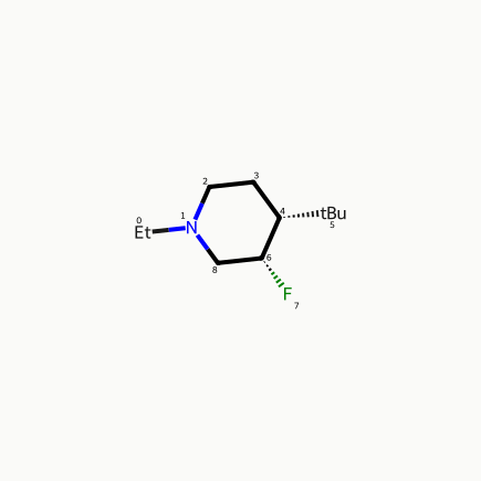 CCN1CC[C@H](C(C)(C)C)[C@H](F)C1